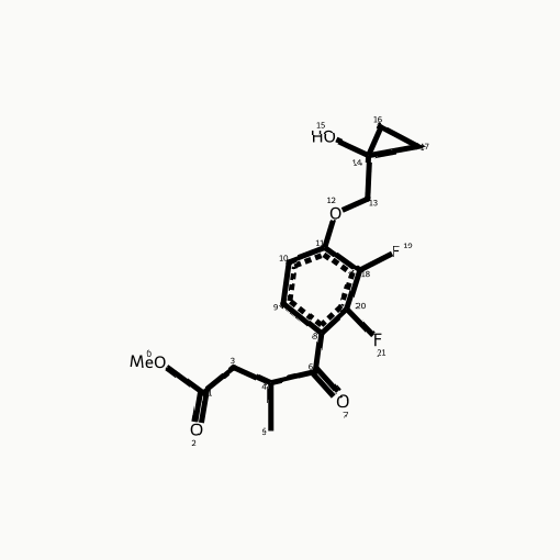 COC(=O)CC(C)C(=O)c1ccc(OCC2(O)CC2)c(F)c1F